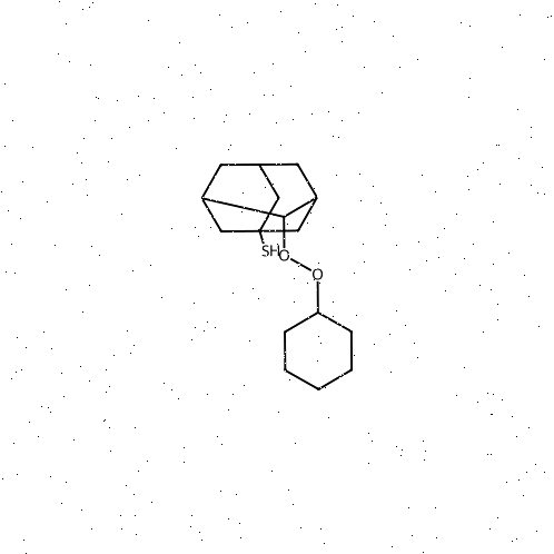 SC12CC3CC(C1)C(OOC1CCCCC1)C(C3)C2